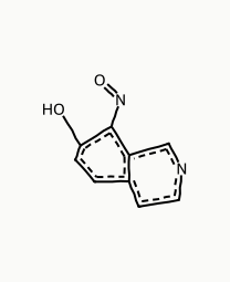 O=Nc1c(O)ccc2ccncc12